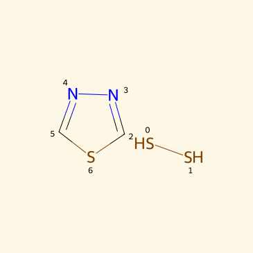 SS.c1nncs1